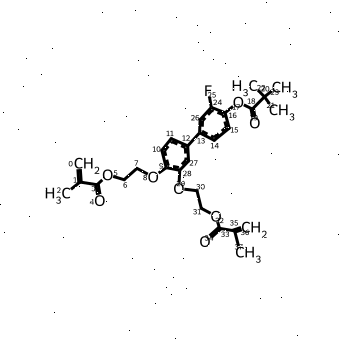 C=C(C)C(=O)OCCOc1ccc(-c2ccc(OC(=O)C(C)(C)C)c(F)c2)cc1OCCOC(=O)C(=C)C